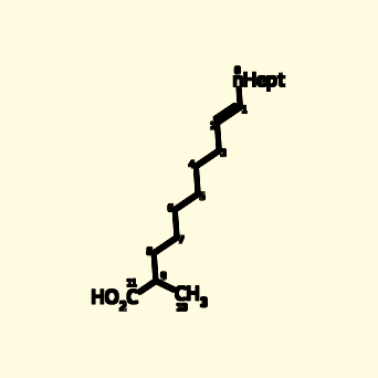 CCCCCCCC=CCCCCCCC(C)C(=O)O